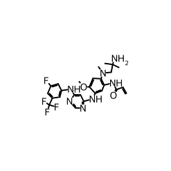 C=CC(=O)Nc1cc(Nc2cc(Nc3cc(F)cc(C(F)(F)F)c3)ncn2)c(OC)cc1N(C)CC(C)(C)N